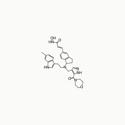 Cc1ccc2c(CCN(Cc3cn[nH]c3C(=O)N3CCOCC3)C3CCc4cc(C=CC(=O)NO)ccc43)c[nH]c2c1